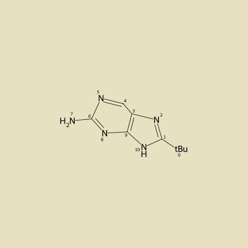 CC(C)(C)c1nc2cnc(N)nc2[nH]1